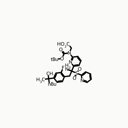 CCCCC(C)(C)c1ccc(CC(N)(c2cccc(N(CC(=O)O)C(=O)OC(C)(C)C)n2)S(=O)(=O)c2ccccn2)c(F)c1